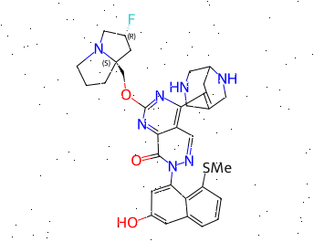 CSc1cccc2cc(O)cc(-n3ncc4c(C5=C6CNCC(C5)NC6)nc(OC[C@@]56CCCN5C[C@H](F)C6)nc4c3=O)c12